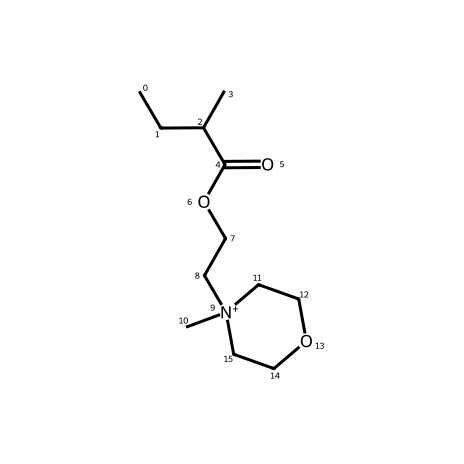 CCC(C)C(=O)OCC[N+]1(C)CCOCC1